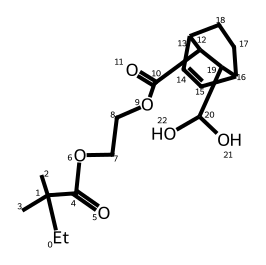 CCC(C)(C)C(=O)OCCOC(=O)C1C2C=CC(CC2)C1C(O)O